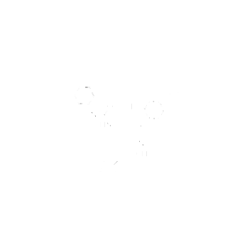 COc1ccc(C23CCC(NC(=O)Nc4cc(F)c(F)c(F)c4)CC2N(C)CC3)c(F)c1OC.O=C(O)C(F)(F)F